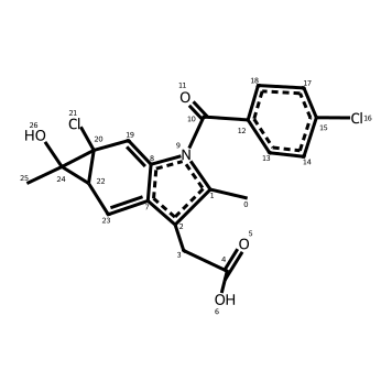 Cc1c(CC(=O)O)c2c(n1C(=O)c1ccc(Cl)cc1)=CC1(Cl)C(C=2)C1(C)O